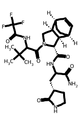 CC(C)(C)C(NC(=O)C(F)(F)F)C(=O)N1C[C@@H]2[C@@H]([C@@H]3C=C[C@H]2CC3)[C@@H]1C(=O)NC(C[C@@H]1CCNC1=O)C(N)=O